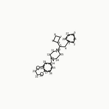 c1ccc(CC(C2CCC2)N2CCN(c3ccc4c(c3)OCCO4)CC2)cc1